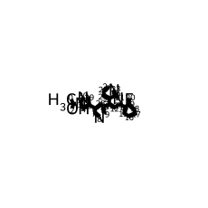 CC(O)n1cc(-c2cncc(-c3cc(-c4ccccc4F)nc4ncccc34)c2)cn1